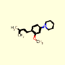 C=C(C)/C=C/c1ccc(N2CCCCC2)cc1OC